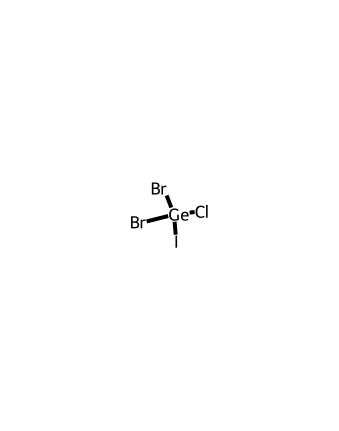 [Cl][Ge]([Br])([Br])[I]